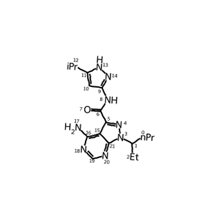 CCCC(CC)n1nc(C(=O)Nc2cc(C(C)C)[nH]n2)c2c(N)ncnc21